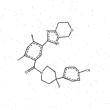 Cc1cc(C)c(-c2nc3c([nH]2)COCC3)cc1C(=O)N1CCC(F)(c2ccc(C#N)cc2)CC1